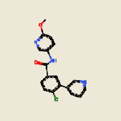 COc1ccc(NC(=O)c2ccc(Cl)c(-c3cccnc3)c2)cn1